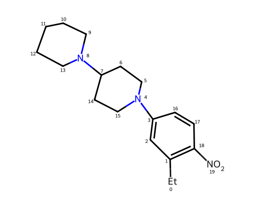 CCc1cc(N2CCC(N3CCCCC3)CC2)ccc1[N+](=O)[O-]